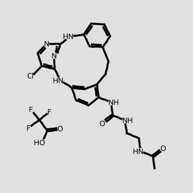 CC(=O)NCCNC(=O)Nc1ccc2cc1CCc1cccc(c1)Nc1ncc(Cl)c(n1)N2.O=C(O)C(F)(F)F